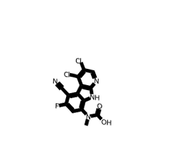 CN(C(=O)O)c1cc(F)c(C#N)c2c1[nH]c1ncc(Cl)c(Cl)c12